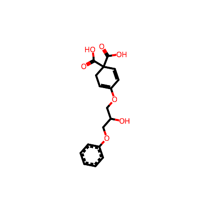 O=C(O)C1(C(=O)O)C=CC(OCC(O)COc2ccccc2)=CC1